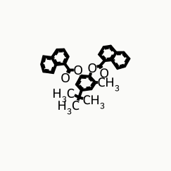 Cc1cc(C(C)(C)C)cc(OC(=O)c2cccc3ccccc23)c1OC(=O)c1cccc2ccccc12